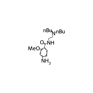 CCCCN(CCCC)CCNC(=O)c1ccc(N)cc1OC